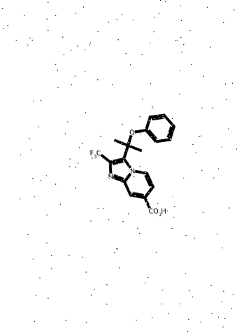 CC(C)(Oc1ccccc1)c1c(C(F)(F)F)nc2cc(C(=O)O)ccn12